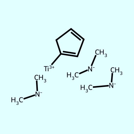 C[N-]C.C[N-]C.C[N-]C.[Ti+3][C]1=CC=CC1